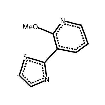 COc1ncccc1-c1nc[c]s1